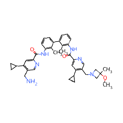 COC1(C)CN(Cc2cnc(C(=O)Nc3cccc(-c4cccc(NC(=O)c5cc(C6CC6)c(CN)cn5)c4C)c3C)cc2C2CC2)C1